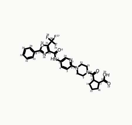 O=C(Nc1ccc(N2CCN(C(=O)C3CCCC3C(=O)O)CC2)nc1)c1nc(-c2ccccc2)oc1C(F)(F)F